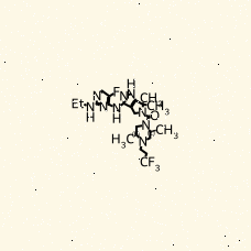 CCNc1ncc(F)c(Nc2n[nH]c3c2CN(C(=O)N2C[C@@H](C)N(CCC(F)(F)F)C[C@@H]2C)C3(C)C)n1